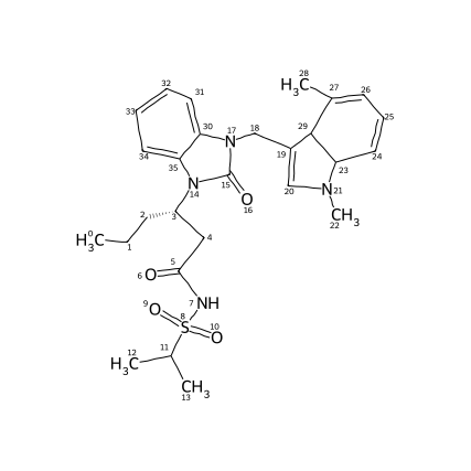 CCC[C@@H](CC(=O)NS(=O)(=O)C(C)C)n1c(=O)n(CC2=CN(C)C3C=CC=C(C)C23)c2ccccc21